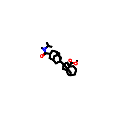 COC(=O)C12CCCC3CC1CC(C14CC5CC(C(=O)N(C)C(C)C)CC(C1)C(C5)C4)(C3)C2